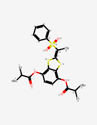 CCCCC(CC)C(=O)Oc1ccc(OC(=O)C(CC)CCCC)c2c1SC(=C(C#N)S(=O)(=O)c1ccccc1)S2